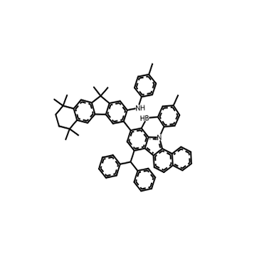 Cc1ccc(Nc2cc3c(cc2-c2cc(C(c4ccccc4)c4ccccc4)c4c5ccc6ccccc6c5n5c4c2Bc2cc(C)ccc2-5)-c2cc4c(cc2C3(C)C)C(C)(C)CCC4(C)C)cc1